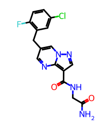 NC(=O)CNC(=O)c1cnn2cc(Cc3cc(Cl)ccc3F)cnc12